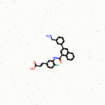 NCc1cccc(-c2cc(C(=O)Nc3cc(/C=C/C(=O)O)ccc3F)c3ccccc3c2)c1